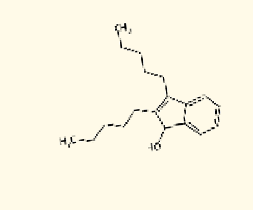 CCCCCC1=C(CCCCC)C(O)c2ccccc21